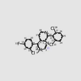 CN(C)/C=N\c1c(C(=O)c2ccc(F)cc2Cl)ccnc1-c1c(Cl)cccc1Cl